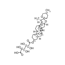 C[C@@H]1CC[C@@]2(OC1)O[C@H]1C[C@H]3[C@@H]4CC[C@H]5C[C@@H](OC(=O)[C@H](O)[C@@H](O)[C@H](O)[C@H](O)C(=O)O)CC[C@]5(C)[C@H]4CC[C@]3(C)[C@H]1[C@@H]2C